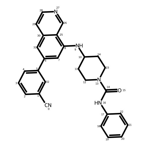 N#Cc1cccc(-c2cc(NC3CCN(C(=O)Nc4ccccc4)CC3)c3cnccc3c2)c1